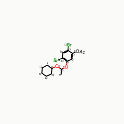 CC(=O)Oc1cc(OC(C)OC2CCCCC2)c(Br)cc1Br